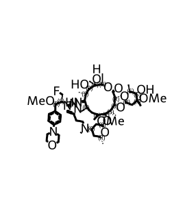 CO[C@H](c1ccc(N2CCOCC2)cc1)[C@@H](CF)n1cc(CCN(C)[C@@H]2C[C@H](O[C@@H]3[C@@H](C)[C@H](O[C@H]4C[C@@](C)(OC)[C@@H](O)[C@H](C)O4)[C@@H](C)C(=O)O[C@H](I)[C@@](C)(O)[C@H](O)[C@@H](C)C(=N)[C@H](C)C[C@@]3(C)OC)O[C@H](C)C2)nn1